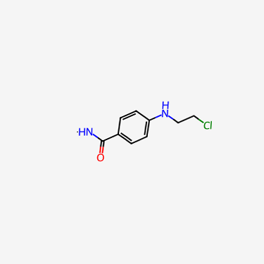 [NH]C(=O)c1ccc(NCCCl)cc1